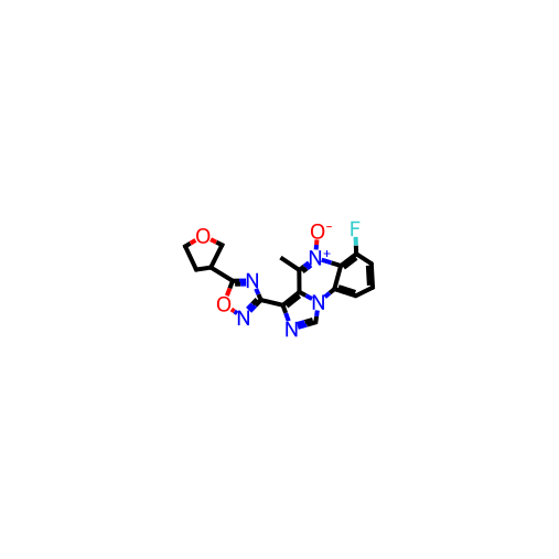 Cc1c2c(-c3noc(C4CCOC4)n3)ncn2c2cccc(F)c2[n+]1[O-]